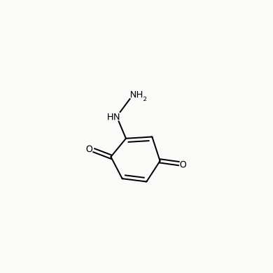 NNC1=CC(=O)C=CC1=O